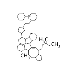 CCC(C)CCC1/C=C(/C2C3CCCCC3C3C(C4CCC(CCC5CCCCP5C5CCCCC5)C4)CCCC23)C(C2CCCCC2C)CCC2CCCC12